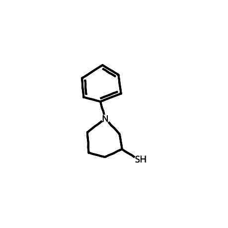 SC1CCCN(c2ccccc2)C1